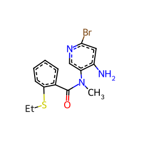 CCSc1ccccc1C(=O)N(C)c1cnc(Br)cc1N